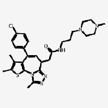 Cc1sc2c(c1C)C(c1ccc(Cl)cc1)=CC(CC(=O)NCCCN1CCN(C)CC1)c1nnc(C)n1-2